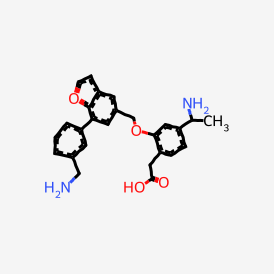 CC(N)c1ccc(CC(=O)O)c(OCc2cc(-c3cccc(CN)c3)c3occc3c2)c1